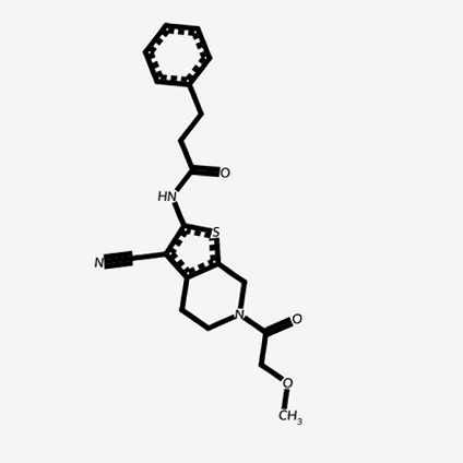 COCC(=O)N1CCc2c(sc(NC(=O)CCc3ccccc3)c2C#N)C1